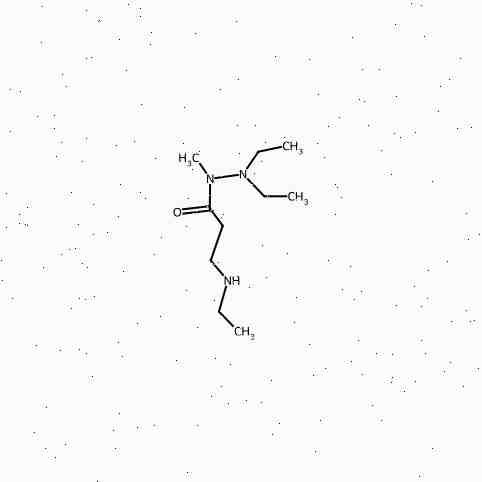 CCNCCC(=O)N(C)N(CC)CC